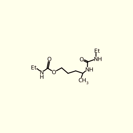 CCNC(=O)NC(C)CCCOC(=O)NCC